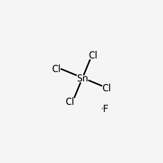 [Cl][Sn]([Cl])([Cl])[Cl].[F]